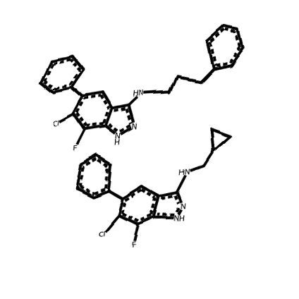 Fc1c(Cl)c(-c2ccccc2)cc2c(NCC3CC3)n[nH]c12.Fc1c(Cl)c(-c2ccccc2)cc2c(NCCCc3ccccc3)n[nH]c12